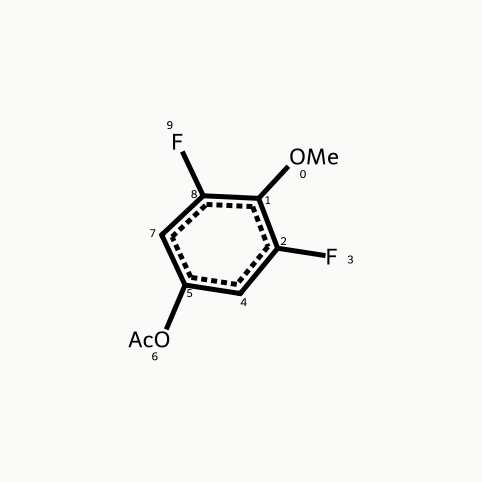 COc1c(F)cc(OC(C)=O)cc1F